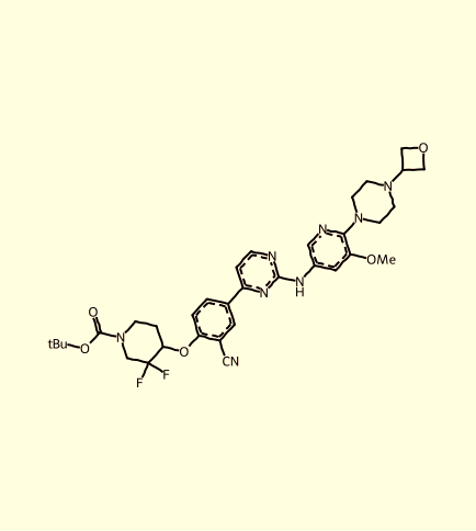 COc1cc(Nc2nccc(-c3ccc(OC4CCN(C(=O)OC(C)(C)C)CC4(F)F)c(C#N)c3)n2)cnc1N1CCN(C2COC2)CC1